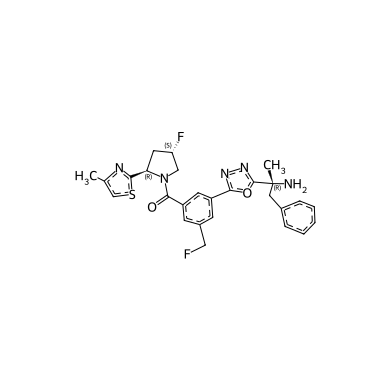 Cc1csc([C@H]2C[C@H](F)CN2C(=O)c2cc(CF)cc(-c3nnc([C@](C)(N)Cc4ccccc4)o3)c2)n1